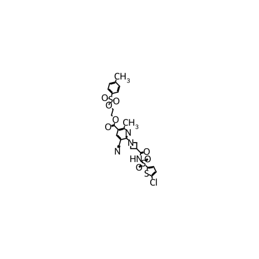 Cc1ccc(S(=O)(=O)OCCOC(=O)c2cc(C#N)c(N3CC(C(=O)NS(=O)(=O)c4ccc(Cl)s4)C3)nc2C)cc1